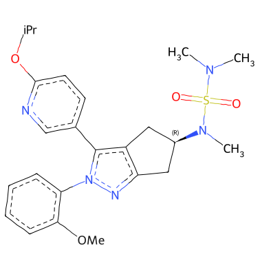 COc1ccccc1-n1nc2c(c1-c1ccc(OC(C)C)nc1)C[C@@H](N(C)S(=O)(=O)N(C)C)C2